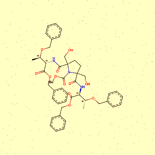 C[C@@H](OCc1ccccc1)[C@H](NC(=O)C1(CO)CCC(CO)(C(=O)N[C@H](C(=O)OCc2ccccc2)[C@@H](C)OCc2ccccc2)N1C(=O)OC(C)(C)C)C(=O)OCc1ccccc1